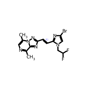 Cc1ncc(C)n2nc(/C=C/c3nc(Br)cn3CC(F)F)nc12